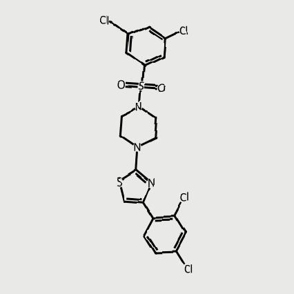 O=S(=O)(c1cc(Cl)cc(Cl)c1)N1CCN(c2nc(-c3ccc(Cl)cc3Cl)cs2)CC1